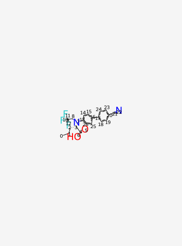 CCC[C@@H](C(=O)O)N(CC(F)(F)F)c1ccc(-c2ccc(C#N)cc2)cc1